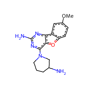 COc1ccc2oc3c(N4CCCC(N)C4)nc(N)nc3c2c1